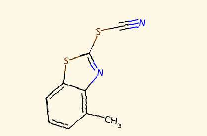 Cc1cccc2sc(SC#N)nc12